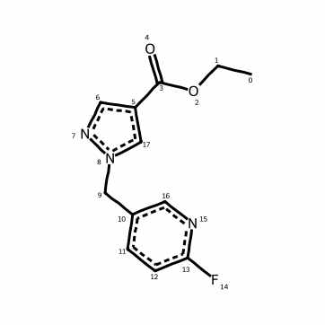 CCOC(=O)c1cnn(Cc2ccc(F)nc2)c1